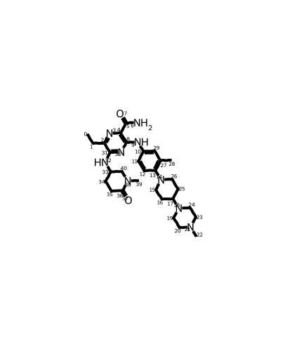 CCc1nc(C(N)=O)c(Nc2ccc(N3CCC(N4CCN(C)CC4)CC3)c(C)c2)nc1NC1CCC(=O)N(C)C1